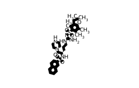 Cc1c(C)c(S(=O)(=O)/N=C(\N)NCCC[C@H](NS(=O)(=O)c2ccc3ccccc3c2)C(=O)N2CCNCC2)c(C)c2c1OC(C)(C)C2